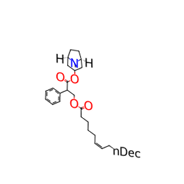 CCCCCCCCCCC/C=C\CCCCC(=O)OCC(C(=O)O[C@H]1C[C@H]2CC[C@@H](C1)N2C)c1ccccc1